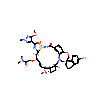 COc1nn(C)cc1C(=O)NC1[C@@H](C)[C@@H](OCC(=O)N(C)C)/C=C/[C@H](OC)[C@@H]2CC[C@H]2CN2C[C@@]3(CCCc4cc(Cl)ccc43)COc3ccc(cc32)C(=O)/N=[SH]\1=O